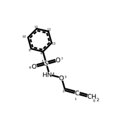 C=C=CONS(=O)(=O)c1ccccc1